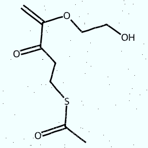 C=C(OCCO)C(=O)CCSC(C)=O